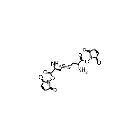 N[C@@H](CSSC[C@H](N)C(=O)ON1C(=O)C=CC1=O)C(=O)ON1C(=O)C=CC1=O